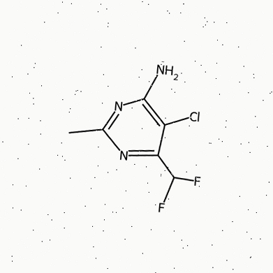 Cc1nc(N)c(Cl)c(C(F)F)n1